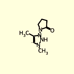 CC1=[C]N(C)NN1N1CCCC1=O